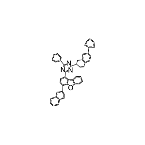 C1=CC(c2nc(-c3ccccc3)nc(-c3ccc(-c4ccc5ccccc5c4)c4oc5ccccc5c34)n2)Cc2cc(-c3ccccc3)ccc21